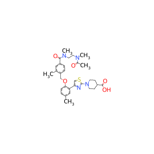 CC(=O)N(C)CCN(C)C(=O)c1ccc(COc2ccc(C)cc2-c2csc(N3CCC(C(=O)O)CC3)n2)c(C)c1